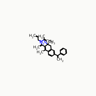 C=CCN(C(=C)C)C(=C)C1=C(C)c2ccc(C(=C)c3ccccc3)cc2CC1(C)N